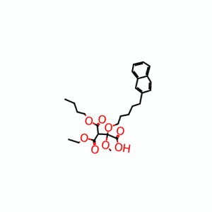 CCCCOC(=O)C(C(=O)OCC)C(OC)(OCCCCCc1ccc2ccccc2c1)C(=O)O